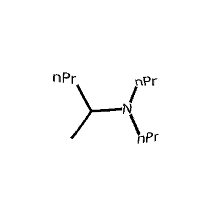 CCCC(C)N(CCC)CCC